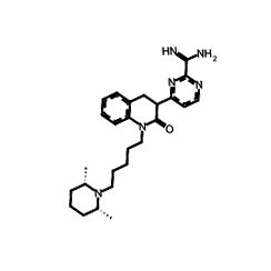 C[C@@H]1CCC[C@H](C)N1CCCCCN1C(=O)C(c2ccnc(C(=N)N)n2)Cc2ccccc21